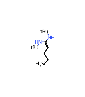 CC(C)(C)NC(=CCC[SiH3])NC(C)(C)C